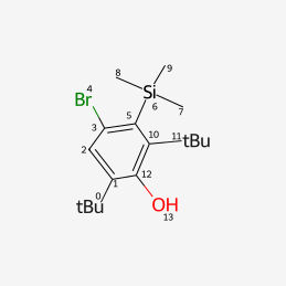 CC(C)(C)c1cc(Br)c([Si](C)(C)C)c(C(C)(C)C)c1O